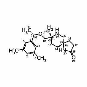 Cc1cc(C)cc([C@H](C)OC[C@@]2(P)CC[C@]3(CCC(=O)N3)CN2)c1